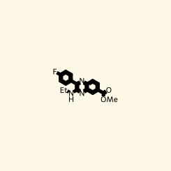 CCNc1nc2cc(C(=O)OC)ccc2nc1-c1ccc(F)cc1